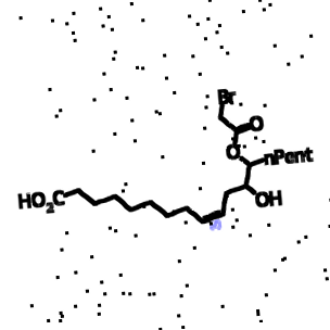 CCCCCC(OC(=O)CBr)C(O)C/C=C\CCCCCCCC(=O)O